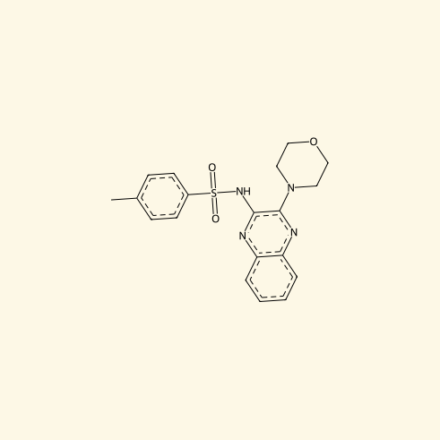 Cc1ccc(S(=O)(=O)Nc2nc3ccccc3nc2N2CCOCC2)cc1